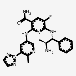 Cc1ncc(Nc2nc(N[C@H](c3ccccc3)[C@H](C)N)c(F)cc2C(N)=O)cc1-n1nccn1